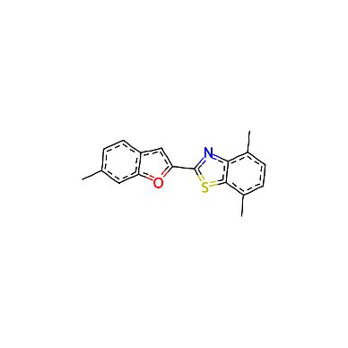 Cc1ccc2cc(-c3nc4c(C)ccc(C)c4s3)oc2c1